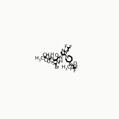 CN(C(=O)C(F)(F)F)C1CCCN(c2c(NC(=O)c3nc(Br)sc3NC(=O)OC(C)(C)C)cnn2CC(F)F)CC1